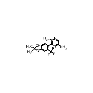 Cc1ncc(N)nc1-c1ccc(OC(C)(C)C)cc1C(F)(F)F